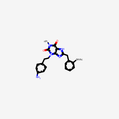 CCCn1c(=O)c2[nH]c(Cc3ccccc3NC(C)=O)nc2n(CCc2ccc(N)cc2)c1=O